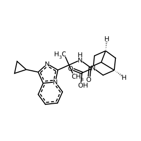 CC(C)(NC(=O)C1[C@@H]2C[C@H]1CN(C(=O)O)C2)c1nc(C2CC2)c2ccccn12